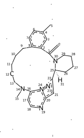 C=C1c2cc(C)ccc2CCCCCN(C)c2ccnc3cc(nn23)[C@@H]2CCCCN12